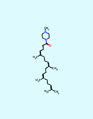 CC(C)=CCCC(C)=CCCC(C)=CCCC(C)=CCCC(=O)N1CCN(C)CC1